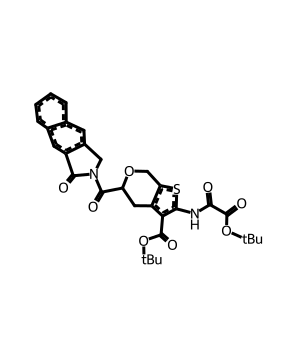 CC(C)(C)OC(=O)C(=O)Nc1sc2c(c1C(=O)OC(C)(C)C)CC(C(=O)N1Cc3cc4ccccc4cc3C1=O)OC2